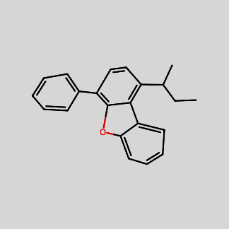 CCC(C)c1ccc(-c2ccccc2)c2oc3ccccc3c12